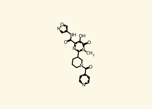 Cn1c(C2CCCN(C(=O)c3ccncc3)C2)nc(C(=O)Nc2cnoc2)c(O)c1=O